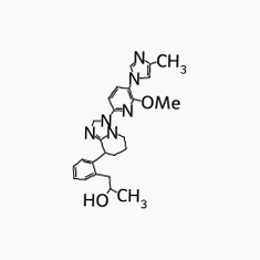 COc1nc(N2CN=C3C(c4ccccc4CC(C)O)CCCN32)ccc1-n1cnc(C)c1